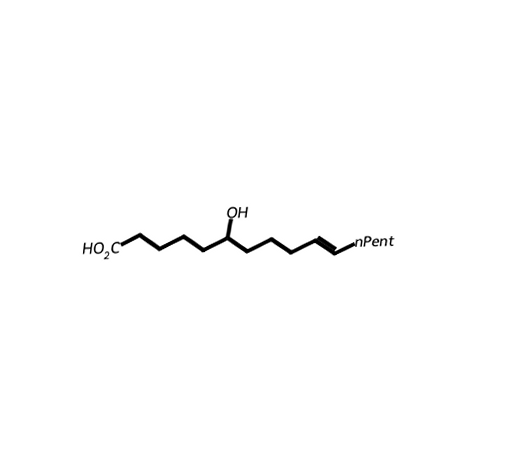 CCCCC/C=C/CCCC(O)CCCCC(=O)O